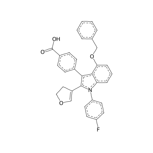 O=C(O)c1ccc(-c2c(C3=COCC3)n(-c3ccc(F)cc3)c3cccc(OCc4ccccc4)c23)cc1